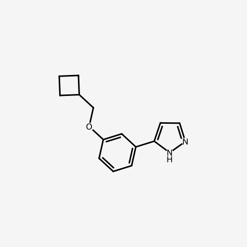 c1cc(OCC2CCC2)cc(-c2ccn[nH]2)c1